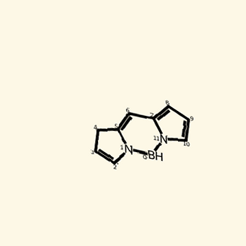 B1N2[C]=CCC2=Cc2cccn21